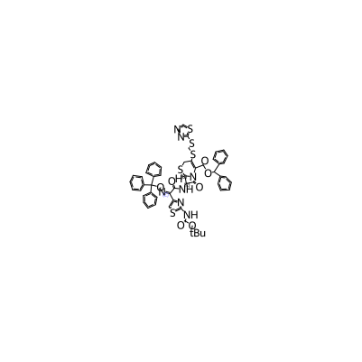 CC(C)(C)OC(=O)Nc1nc(/C(=N/OC(c2ccccc2)(c2ccccc2)c2ccccc2)C(=O)N[C@@H]2C(=O)N3C(C(=O)OC(c4ccccc4)c4ccccc4)=C(SCSc4nncs4)CS[C@@H]23)cs1